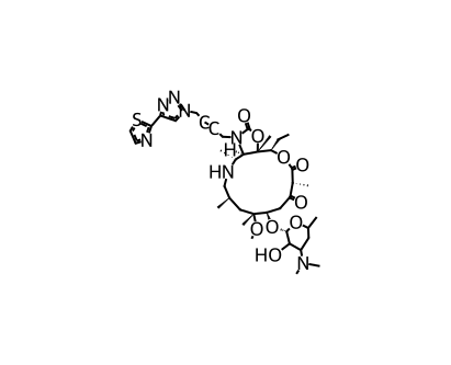 CC[C@H]1OC(=O)[C@H](C)C(=O)C[C@@H](O[C@@H]2OC(C)CC(N(C)C)C2O)[C@](C)(OC)C[C@@H](C)CN[C@H](C)[C@H]2N(CCCCn3cc(-c4nccs4)nn3)C(=O)O[C@]12C